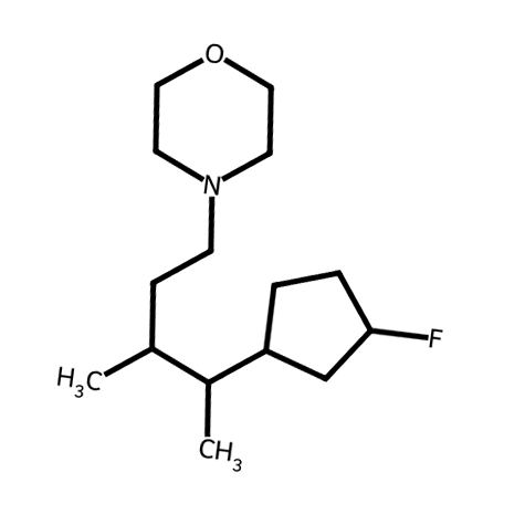 CC(CCN1CCOCC1)C(C)C1CCC(F)C1